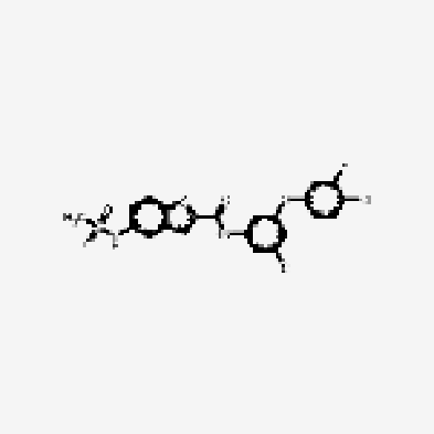 CS(=O)(=O)Nc1ccc2sc(C(=O)Nc3cc(Cl)cc(Oc4ccc(Cl)c(F)c4)c3)cc2c1